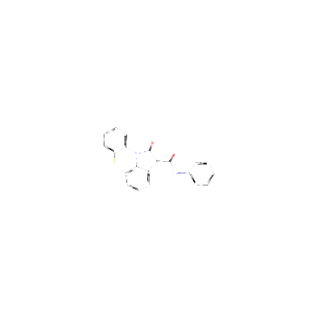 O=C(Nc1ccccc1)C1C(=O)N2c3ccccc3Sc3cccc1c32